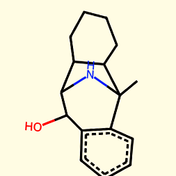 CC12NC(C(O)c3ccccc31)C1CCCCC12